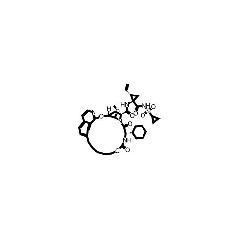 C=C[C@@H]1C[C@]1(NC(=O)[C@@H]1C[C@H]2Oc3nccc4ccc(cc34)CCCCCOC(=O)N[C@@H](C3CCCCC3)C(=O)N1C2OC)C(=O)NS(=O)(=O)C1CC1